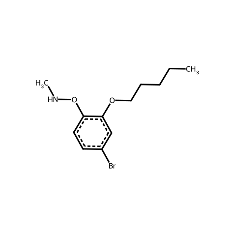 CCCCCOc1cc(Br)ccc1ONC